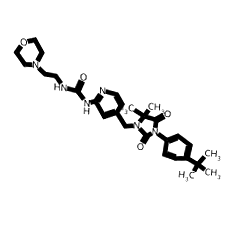 CC(C)(C)c1ccc(N2C(=O)N(Cc3ccnc(NC(=O)NCCN4CCOCC4)c3)C(C)(C)C2=O)cc1